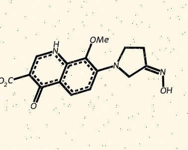 COc1c(N2CCC(=NO)C2)ccc2c(=O)c(C(=O)O)c[nH]c12